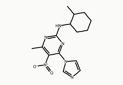 Cc1nc(NC2CCCCC2C)nc(-n2ccnc2)c1[N+](=O)[O-]